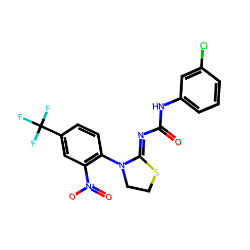 O=C(N=C1SCCN1c1ccc(C(F)(F)F)cc1[N+](=O)[O-])Nc1cccc(Cl)c1